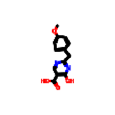 COc1ccc(Cc2ncc(C(=O)O)c(O)n2)cc1